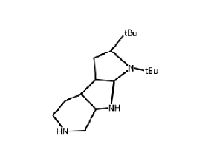 CC(C)(C)C1CC2C3CCNCC3NC2N1C(C)(C)C